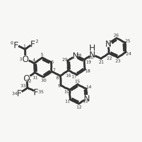 FC(F)Oc1ccc(C(Cc2ccncc2)c2ccc(NCc3ccccn3)nc2)cc1OC(F)F